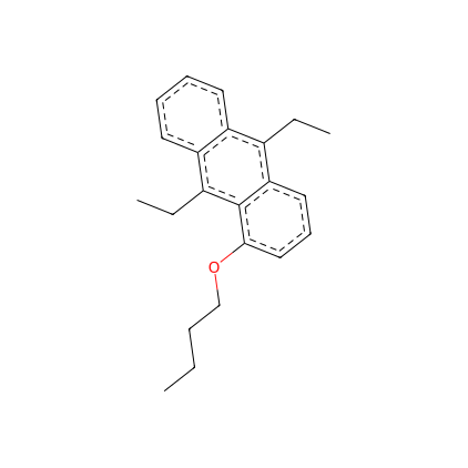 CCCCOc1cccc2c(CC)c3ccccc3c(CC)c12